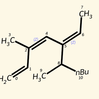 C=C/C(C)=C\C(=C/C)C(C)CCCC